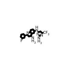 Nc1nc(Nc2ccc3nc(-c4cccc(F)c4)cc(N)c3c2)cc(C(F)(F)F)n1